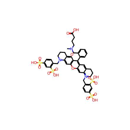 CN(CCCC(=O)O)C(=O)c1ccccc1C1=c2cc3c(cc2Oc2cc4c(cc21)CCCN4Cc1ccc(S(=O)(=O)O)cc1S(=O)(=O)O)=[N+](Cc1ccc(S(=O)(=O)O)cc1S(=O)(=O)O)CCC3